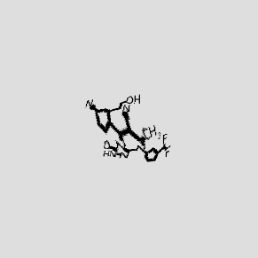 CC1=C(C#N)C(c2ccc(C#N)cc2CCO)n2c(n[nH]c2=O)N1c1cccc(C(F)F)c1